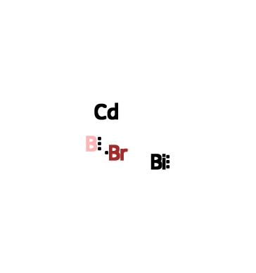 [B].[Bi].[Br].[Cd]